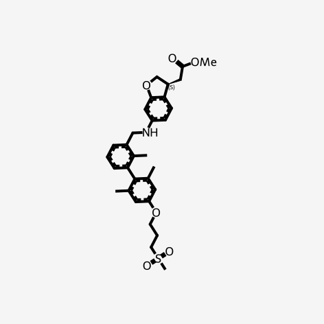 COC(=O)C[C@@H]1COc2cc(NCc3cccc(-c4c(C)cc(OCCCS(C)(=O)=O)cc4C)c3C)ccc21